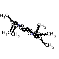 CCCCCCOc1ccc(/C=C/C(=O)Oc2ccc3cc(OC(=O)/C=C/c4ccc(OCCCCCC)c(OCCCCCC)c4OCCCCCC)ccc3c2)c(OCCCCCC)c1OCCCCCC